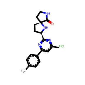 Cc1cc(-c2ccc(C(F)(F)F)cc2)nc([C@H]2CC[C@]3(CCNC3=O)N2)n1.Cl